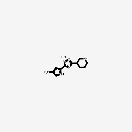 Cl.FC(F)(F)c1c[nH]c(-c2noc(C3CCCNC3)n2)c1